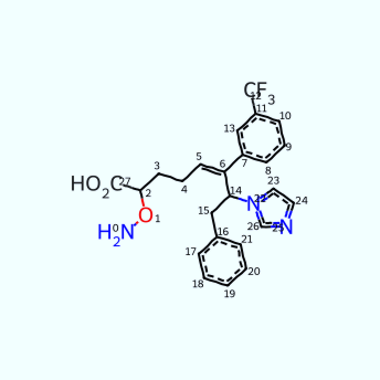 NOC(CCC=C(c1cccc(C(F)(F)F)c1)C(Cc1ccccc1)n1ccnc1)C(=O)O